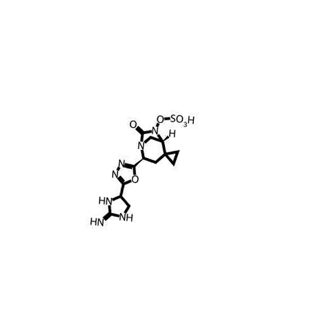 N=C1NCC(c2nnc([C@@H]3CC4(CC4)[C@@H]4CN3C(=O)N4OS(=O)(=O)O)o2)N1